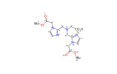 CC(C)(C)OC(=O)Cn1ccnc1CN(CC(=O)O)Cc1nccn1CC(=O)OC(C)(C)C